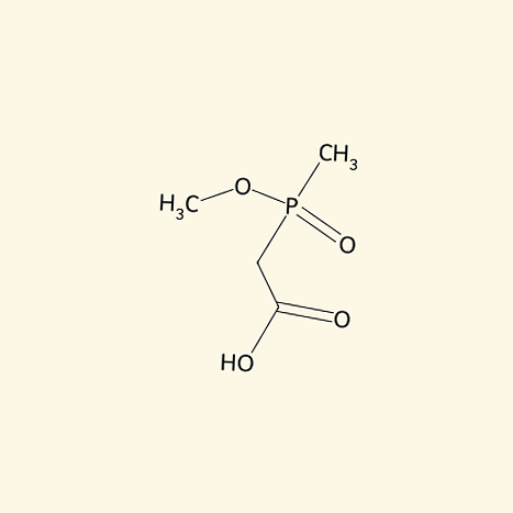 COP(C)(=O)CC(=O)O